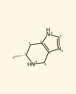 C[C@@H]1Cc2[nH]cnc2CN1